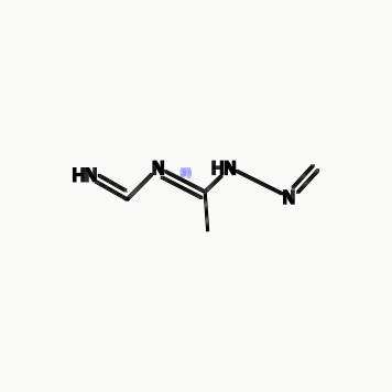 C=NN/C(C)=N/C=N